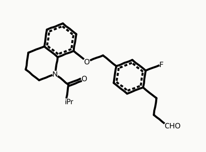 CC(C)C(=O)N1CCCc2cccc(OCc3ccc(CCC=O)c(F)c3)c21